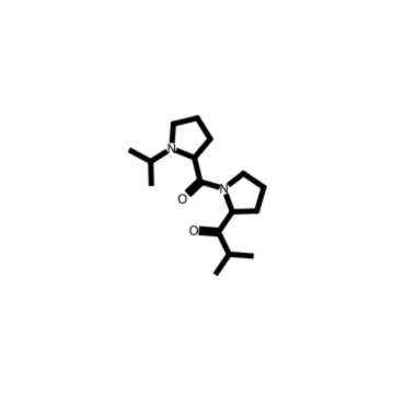 CC(C)C(=O)C1CCCN1C(=O)C1CCCN1C(C)C